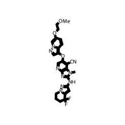 COCCOc1ccc2c(Oc3cnc4nc(Nc5cc6n(n5)CCCC6(F)F)n(C)c4c3C#N)cnn2c1